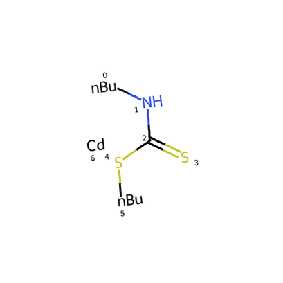 CCCCNC(=S)SCCCC.[Cd]